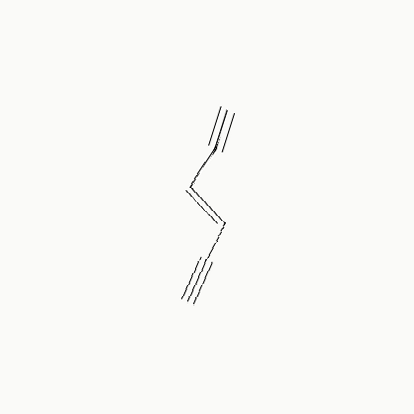 C#CC=CC#C